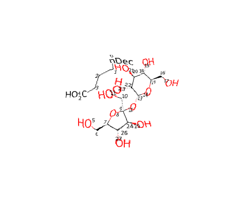 CCCCCCCCCCCCCC(=O)O.OC[C@H]1O[C@@](CO)(O[C@H]2O[C@H](CO)[C@@H](O)[C@H](O)[C@H]2O)[C@@H](O)[C@@H]1O